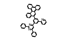 c1ccc(-c2cc(-c3cc(-c4ccccn4)cc(-c4cc5c6ccccc6c6ccccc6c5c5ccccc45)c3)nc(-c3ccccc3)n2)cc1